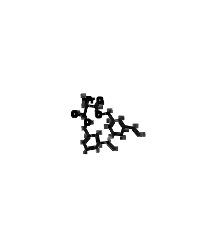 C=Cc1cccc(COC(=O)C(CCC)C(=O)OCc2cccc(C=C)c2)c1